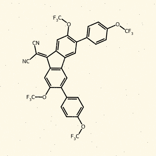 N#CC(C#N)=C1c2cc(OC(F)(F)F)c(-c3ccc(OC(F)(F)F)cc3)cc2-c2cc(-c3ccc(OC(F)(F)F)cc3)c(OC(F)(F)F)cc21